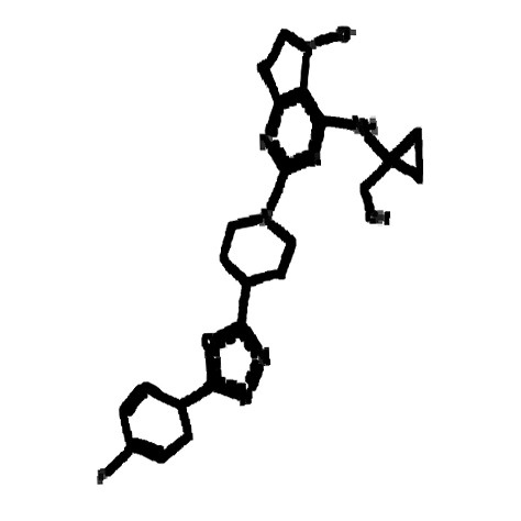 [O-][S+]1CCc2nc(N3CCC(c4nnc(C5C=CC(F)=CC5)o4)CC3)nc(NC3(CO)CC3)c21